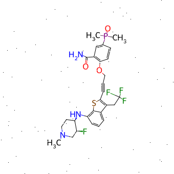 CN1CC[C@@H](Nc2cccc3c(CC(F)(F)F)c(C#CCOc4ccc(P(C)(C)=O)cc4C(N)=O)sc23)[C@@H](F)C1